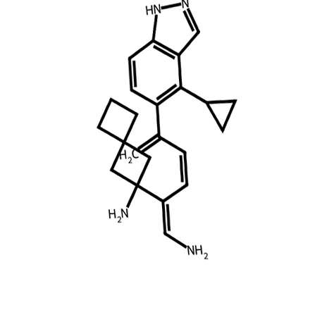 C=C(/C=C\C(=C/N)C1(N)CC2(CCC2)C1)c1ccc2[nH]ncc2c1C1CC1